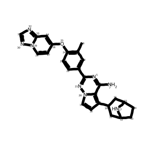 Cc1cc(-c2nc(N)c3c(C4CC5CCC(C4)N5)ccn3n2)ccc1Oc1ccn2ncnc2c1